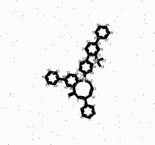 C=C1/C=C(c2ccccc2)\C=C/CN(c2ccc3c(c2)[Si](C)(C)c2cc(-c4ccccc4)ccc2-3)c2ccc(-c3ccccc3)cc21